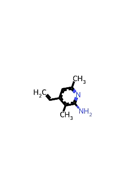 C=Cc1cc(C)nc(N)c1C